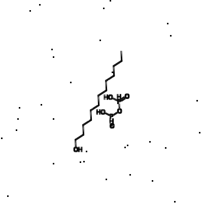 CCCCCCCCCCCCCO.O=[PH](O)O[PH](=O)O